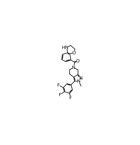 Cn1nc2c(c1-c1cc(F)c(F)c(F)c1)CCN(C(=O)c1cccc3c1OCCN3)C2